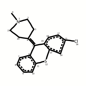 CN1CCC(=C2c3ccccc3Sc3cc(Cl)ccc32)CC1